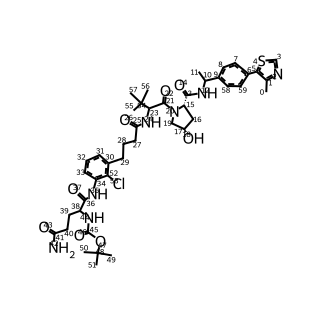 Cc1ncsc1-c1ccc(C(C)NC(=O)[C@@H]2C[C@@H](O)CN2C(=O)C(NC(=O)CCCc2cccc(NC(=O)C(CCC(N)=O)NC(=O)OC(C)(C)C)c2Cl)C(C)(C)C)cc1